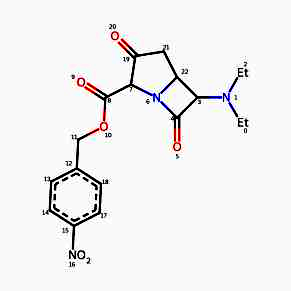 CCN(CC)C1C(=O)N2C(C(=O)OCc3ccc([N+](=O)[O-])cc3)C(=O)CC12